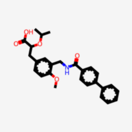 COc1ccc(CC(OC(C)C)C(=O)O)cc1CNC(=O)c1ccc(-c2ccccc2)cc1